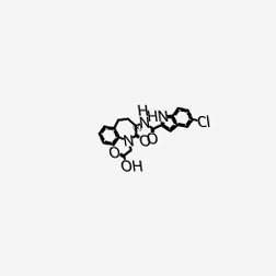 O=C(O)CN1C(=O)[C@H](NC(=O)c2cc3cc(Cl)ccc3[nH]2)CCc2ccccc21